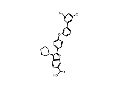 O=C(O)c1ccc2c(c1)nc(-c1ccc(Oc3cccc(-c4cc(Cl)cc(Cl)c4)c3)cc1)n2C1CCCCC1